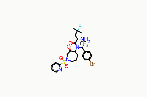 CC(C)(F)C[C@H](N)C(=O)N(C1CCCN(S(=O)(=O)c2ccccn2)CC1=O)[C@@H](c1ccc(Br)cc1)C(F)(F)F